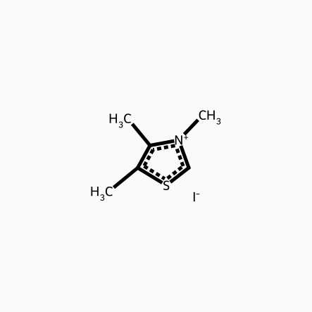 Cc1sc[n+](C)c1C.[I-]